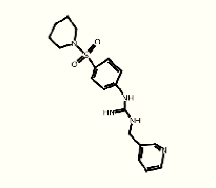 N=C(NCc1cccnc1)Nc1ccc(S(=O)(=O)N2CCCCC2)cc1